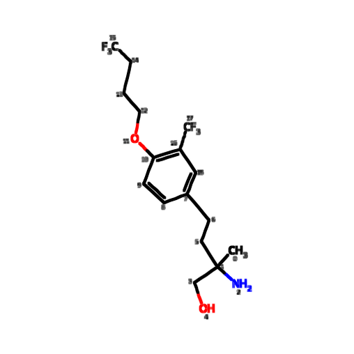 CC(N)(CO)CCc1ccc(OCCCC(F)(F)F)c(C(F)(F)F)c1